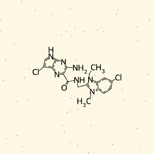 CCn1c(CNC(=O)c2nc3c(Cl)c[nH]c3nc2N)[n+](C)c2ccc(Cl)cc21